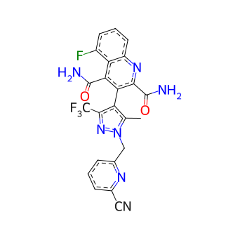 Cc1c(-c2c(C(N)=O)nc3cccc(F)c3c2C(N)=O)c(C(F)(F)F)nn1Cc1cccc(C#N)n1